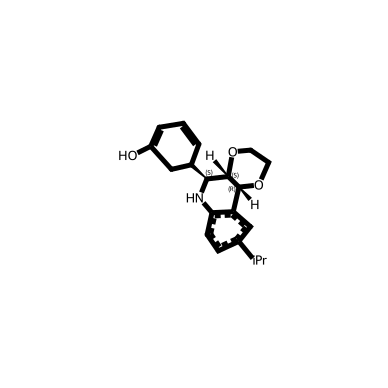 CC(C)c1ccc2c(c1)[C@H]1OCCO[C@H]1[C@H](C1C=CC=C(O)C1)N2